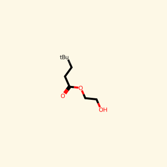 CC(C)(C)CCC(=O)OCCO